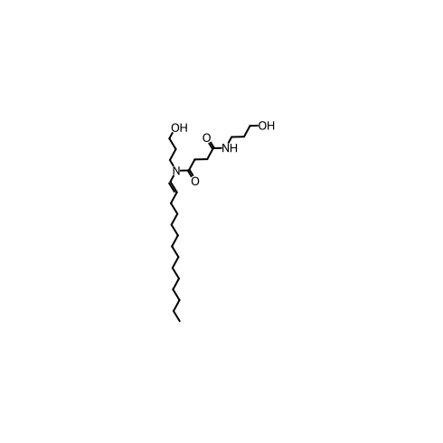 CCCCCCCCCCCCC=CN(CCCO)C(=O)CCC(=O)NCCCO